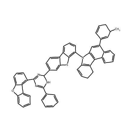 CC1C=C(c2cc3c(c4c(n3-c3cccc5c3sc3cc(C6N=C(c7cccc8oc9ccccc9c78)N=C(c7ccccc7)N6)ccc35)C=CCC4)c3ccccc23)C=CC1